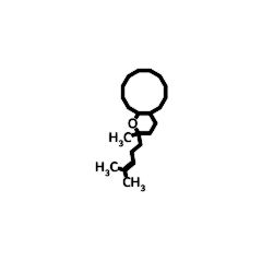 CC(C)=CCCC1(C)CCC2CCCCCCCCCCC2O1